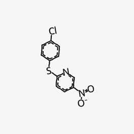 O=[N+]([O-])c1ccc(Sc2ccc(Cl)cc2)nc1